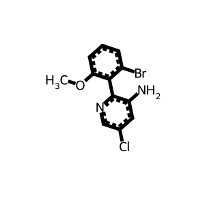 COc1cccc(Br)c1-c1ncc(Cl)cc1N